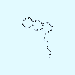 C=CCC=Cc1cccc2cc3ccccc3cc12